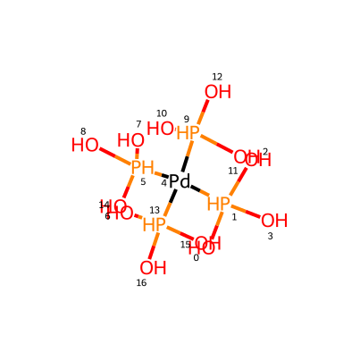 O[PH](O)(O)[Pd]([PH](O)(O)O)([PH](O)(O)O)[PH](O)(O)O